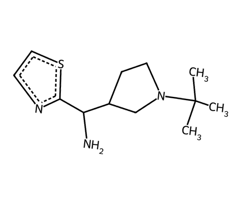 CC(C)(C)N1CCC(C(N)c2nccs2)C1